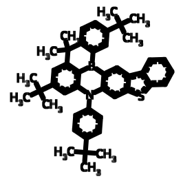 CC(C)(C)c1ccc(N2c3cc4sc5ccccc5c4cc3B3c4cc(C(C)(C)C)ccc4C(C)(C)c4cc(C(C)(C)C)cc2c43)cc1